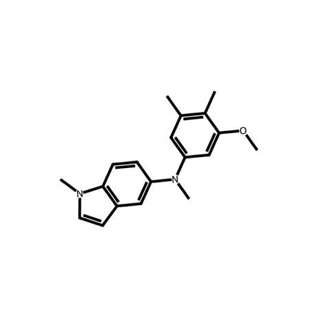 COc1cc(N(C)c2ccc3c(ccn3C)c2)cc(C)c1C